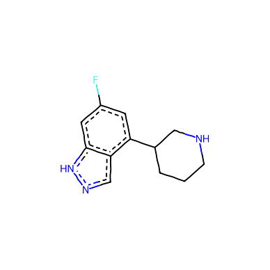 Fc1cc(C2CCCNC2)c2cn[nH]c2c1